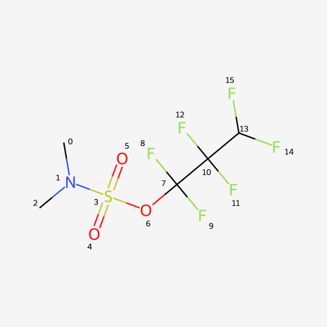 CN(C)S(=O)(=O)OC(F)(F)C(F)(F)C(F)F